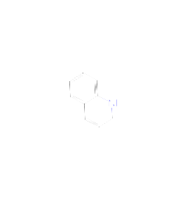 [C]1C=Cc2ccccc2N1